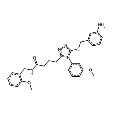 COc1cccc(-n2c(CCCC(=O)NCc3ccccc3OC)nnc2SCc2cccc(N)c2)c1